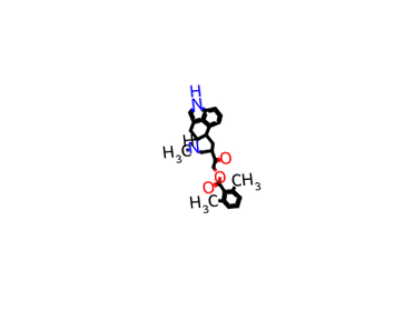 Cc1cccc(C)c1C(=O)OCC(=O)C1CC2c3cccc4[nH]cc(c34)C[C@H]2N(C)C1